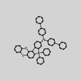 c1ccc(-c2ccc(N(c3ccc(-c4ccccc4)cc3)c3ccc4c(c3)C(c3ccccc3)(c3ccccc3)c3ccc5c(c3-4)Oc3ccccc3S5)cc2)cc1